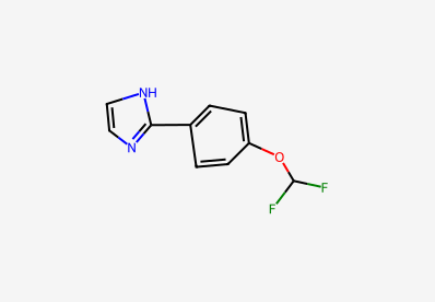 FC(F)Oc1ccc(-c2ncc[nH]2)cc1